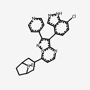 CCN1C2CCC1CC(c1ccnc3c(-c4ccc(Cl)c5[nH]ncc45)c(-c4ccncc4)nn13)C2